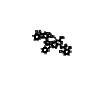 CC(C(=O)N[C@H](C1=NOC(Cc2ccccc2)(C(=O)N[C@@H](CC(=O)O)C(=O)COC(=O)c2c(Cl)cccc2Cl)C1)C(C)C)c1ccccc1